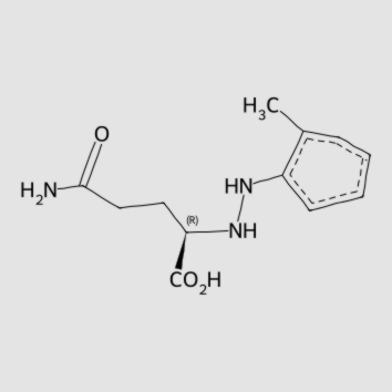 Cc1ccccc1NN[C@H](CCC(N)=O)C(=O)O